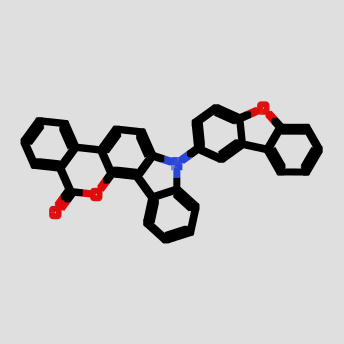 O=c1oc2c(ccc3c2c2ccccc2n3-c2ccc3oc4ccccc4c3c2)c2ccccc12